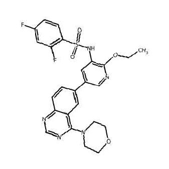 CCOc1ncc(-c2ccc3ncnc(N4CCOCC4)c3c2)cc1NS(=O)(=O)c1ccc(F)cc1F